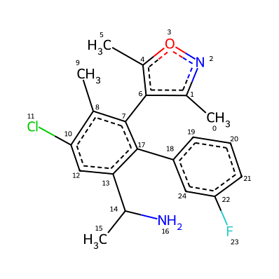 Cc1noc(C)c1-c1c(C)c(Cl)cc(C(C)N)c1-c1cccc(F)c1